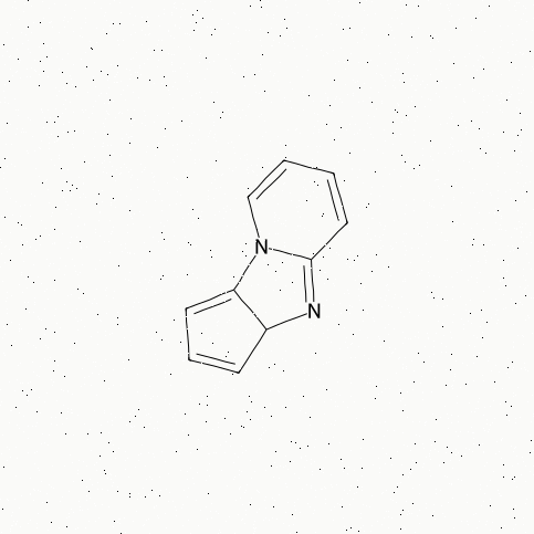 C1=CC2=NC3C=CC=C3N2C=C1